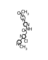 CC(=O)N1CCN(c2ccc(NC(=O)Cc3cnc(-c4ccnc(C)c4)c(Cl)c3)nc2)CC1